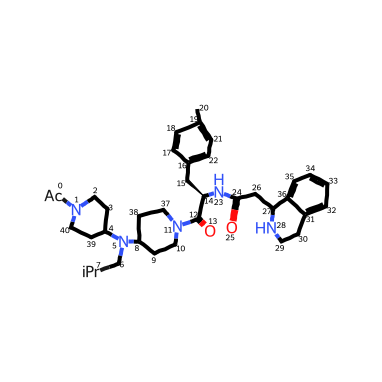 CC(=O)N1CCC(N(CC(C)C)C2CCN(C(=O)[C@@H](Cc3ccc(C)cc3)NC(=O)CC3NCCc4ccccc43)CC2)CC1